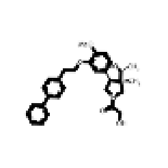 COc1ccc([C@@H]2CN(C(=O)CO)C[C@@]2(C)[C@@H](C)O)cc1OCCc1ccc(-c2ccccc2)cc1